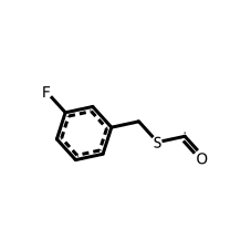 O=[C]SCc1cccc(F)c1